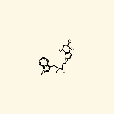 CN(Cc1cn(C)c2ccccc12)C(=O)C=CN1C=CC2=C(C1)C(=O)CC(=O)N2